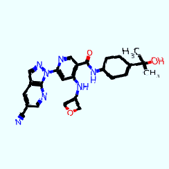 CC(C)(O)C1CCC(NC(=O)c2cnc(-n3ncc4cc(C#N)cnc43)cc2NC2COC2)CC1